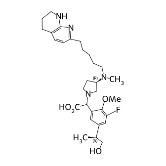 COc1c(F)cc([C@H](C)CO)cc1C(C(=O)O)N1CC[C@@H](N(C)CCCCCc2ccc3c(n2)NCCC3)C1